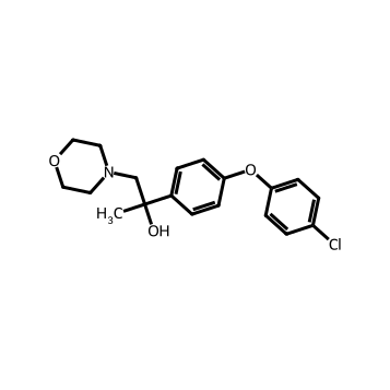 CC(O)(CN1CCOCC1)c1ccc(Oc2ccc(Cl)cc2)cc1